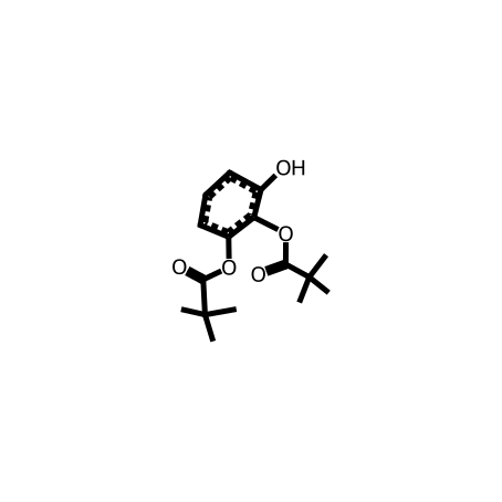 CC(C)(C)C(=O)Oc1cccc(O)c1OC(=O)C(C)(C)C